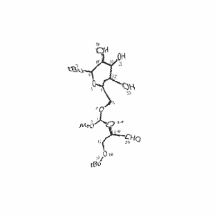 COC(OCC1OC(C(C)(C)C)C(O)C(O)C1O)OC(C=O)COC(C)(C)C